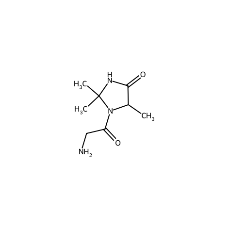 CC1C(=O)NC(C)(C)N1C(=O)CN